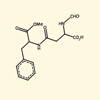 COC(=O)C(Cc1ccccc1)NC(=O)CC(NC=O)C(=O)O